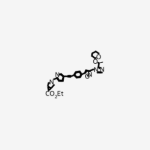 CCOC(=O)C1C2CN(Cc3ccc(C#Cc4ccc(-c5cc(Cn6ccnc6[C@H](C)OC6CCCCO6)no5)cc4)cn3)CC21